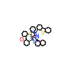 c1ccc(-c2nc(-c3cccc4c3sc3ccccc34)nc(-c3cccc4oc5cccc(-c6nc(-c7ccccc7)nc7c6sc6ccccc67)c5c34)n2)cc1